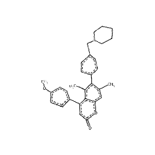 COc1ccc(-c2cc(=O)oc3cc(C)c(-c4ccc(CN5CCCCC5)cc4)c(C)c23)cc1